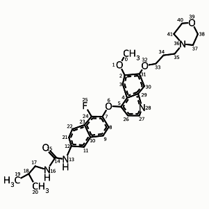 COc1cc2c(Oc3ccc4cc(NC(=O)NCC(C)C)ccc4c3F)ccnc2cc1OCCCN1CCOCC1